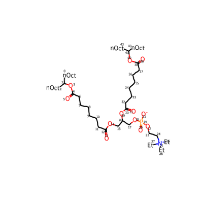 CCCCCCCCC(CCCCCCCC)OC(=O)CCCCCCC(=O)OCC(COP(=O)([O-])OCC[N+](CC)(CC)CC)OC(=O)CCCCCCC(=O)OC(CCCCCCCC)CCCCCCCC